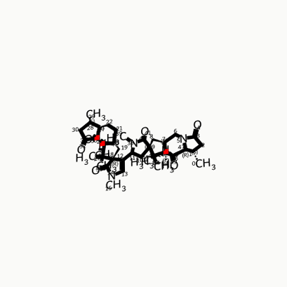 C[C@H]1CC(=O)N2C[C@]34C[C@]5(CC(C6=CN(C)C(=O)[C@@]67C[C@@]68CC[C@]9(C(=O)N6C)[C@@H](C)CC(=O)N9C8C7(C)C)N(C)C5=O)C(C)(C)[C@@H]3C[C@]12C(=O)N4C